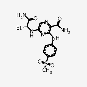 CC[C@@H](Nc1cnc(C(N)=O)c(Nc2ccc(S(C)(=O)=O)cc2)n1)C(N)=O